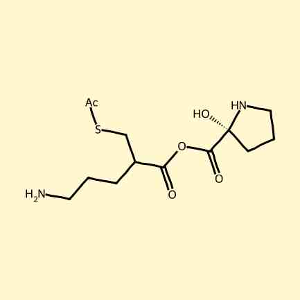 CC(=O)SCC(CCCN)C(=O)OC(=O)[C@]1(O)CCCN1